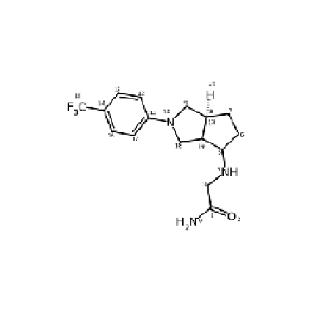 NC(=O)CNC1CC[C@@H]2CN(c3ccc(C(F)(F)F)cc3)CC12